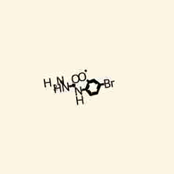 COc1cc(Br)ccc1NC(=O)NN